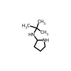 CC(C)(C)NC1CCCN1